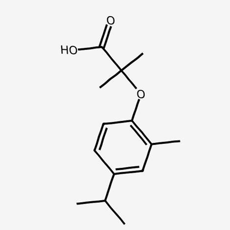 Cc1cc(C(C)C)ccc1OC(C)(C)C(=O)O